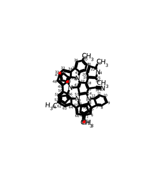 Cc1ccc2c(c1)c1ccccc1n2-c1c(C#N)c(-c2ccc(C)nc2C)c(-n2c3ccccc3c3cc(C)ccc32)c(-n2c3ccccc3c3cc(C)ccc32)c1-n1c2ccccc2c2cc(C)ccc21